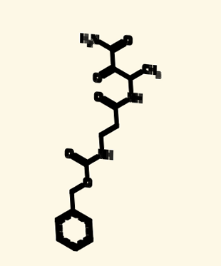 CC(NC(=O)CCNC(=O)OCc1ccccc1)C(=O)C(N)=O